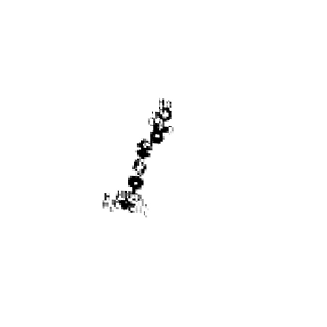 CC1(C)CC(C)(C)C1NC(=O)c1ccc(N2CCN(C3CC4(CCN(c5ccc6c(c5)C(=O)N(C5CCC(=O)NC5=O)C6=O)C4)C3)CC2)cc1